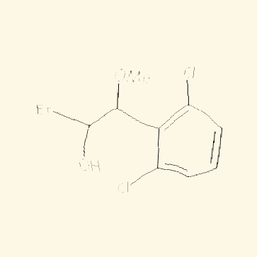 CCC(O)C(OC)c1c(Cl)cccc1Cl